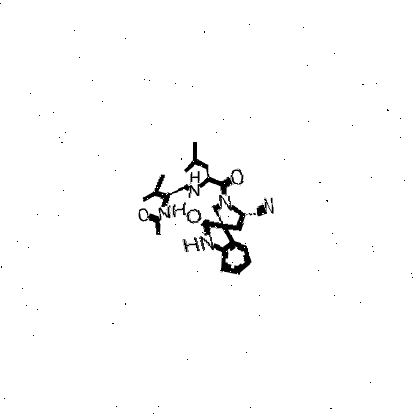 CC(=O)N[C@H](CN[C@@H](CC(C)C)C(=O)N1C[C@]2(C[C@H]1C#N)C(=O)Nc1ccccc12)C(C)C